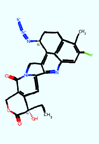 CC[C@@]1(O)C(=O)OCc2c1cc1n(c2=O)Cc2c-1nc1cc(F)c(C)c3c1c2[C@@H](N=[N+]=[N-])CC3